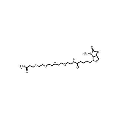 CCCCN1C(=O)NC2CS[C@@H](CCCCC(=O)NCCOCCOCCOCCOCCC(N)=O)C21